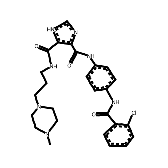 CN1CCN(CCCNC(=O)c2[nH]cnc2C(=O)Nc2ccc(NC(=O)c3ccccc3Cl)cc2)CC1